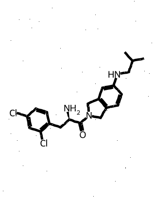 CC(C)CNc1ccc2c(c1)CN(C(=O)[C@H](N)Cc1ccc(Cl)cc1Cl)C2